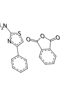 Nc1nc(-c2ccccc2)cs1.O=C1OC(=O)c2ccccc21